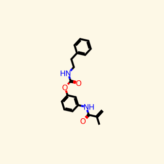 C=C(C)C(=O)Nc1cccc(OC(=O)NCCc2ccccc2)c1